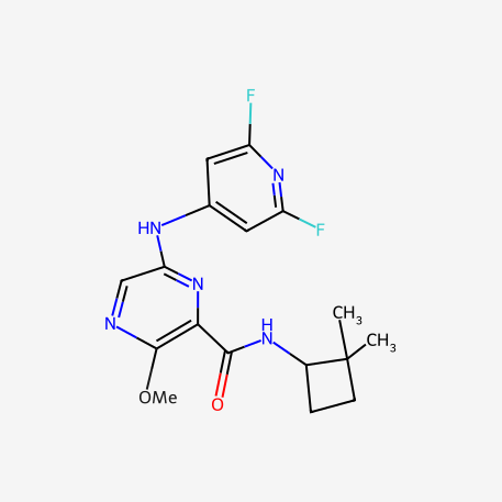 COc1ncc(Nc2cc(F)nc(F)c2)nc1C(=O)NC1CCC1(C)C